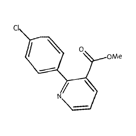 COC(=O)c1cccnc1-c1ccc(Cl)cc1